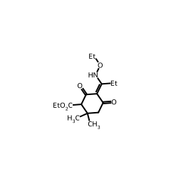 CCONC(CC)=C1C(=O)CC(C)(C)C(C(=O)OCC)C1=O